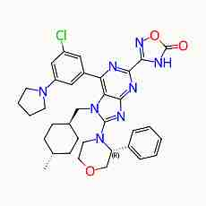 C[C@H]1CC[C@H](Cn2c(N3CCOC[C@H]3c3ccccc3)nc3nc(-c4noc(=O)[nH]4)nc(-c4cc(Cl)cc(N5CCCC5)c4)c32)CC1